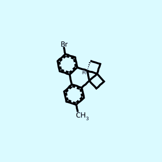 Cc1ccc2c(c1)C13CCC14CC[C@]43c1cc(Br)ccc1-2